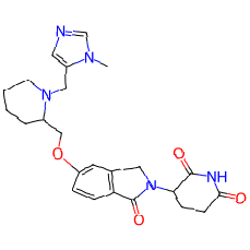 Cn1cncc1CN1CCCCC1COc1ccc2c(c1)CN(C1CCC(=O)NC1=O)C2=O